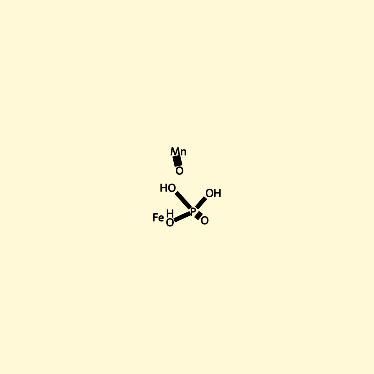 O=P(O)(O)O.[Fe].[O]=[Mn]